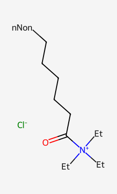 CCCCCCCCCCCCCCC(=O)[N+](CC)(CC)CC.[Cl-]